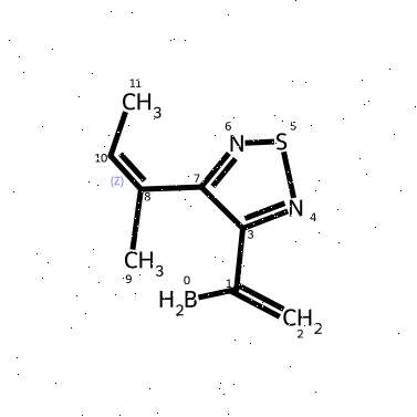 BC(=C)c1nsnc1/C(C)=C\C